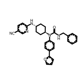 N#Cc1ccc(N[C@H]2CC[C@H](N(C(=O)NCc3ccccc3)c3ccc(-c4ccco4)cc3)CC2)nc1